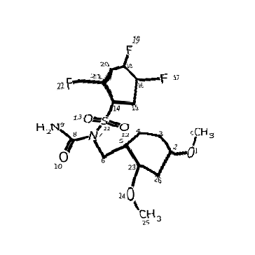 COC1CCC(CN(C(N)=O)S(=O)(=O)C2CC(F)C(F)CC2F)C(OC)C1